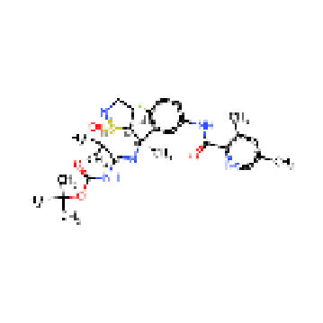 Cc1cnc(C(=O)Nc2ccc(F)c([C@@]3(C)N=C(NC(=O)OC(C)(C)C)C(C)(C)[S@@]4(=O)=NCC[C@@H]34)c2)c(C)c1